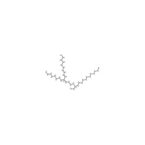 CCCCCCCCCCCCC(CC)CCC[CH]C(CCCCCCCC)CCCCCCCCCC